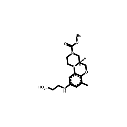 Cc1cc(NCCC(=O)O)cc2c1OC[C@H]1CN(C(=O)OC(C)(C)C)CCN21